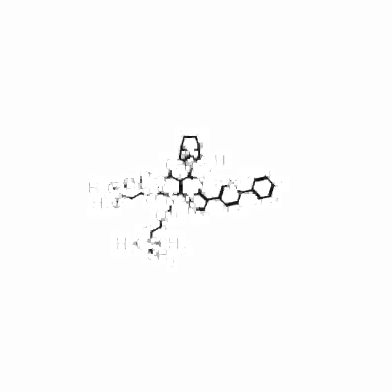 C=C(OCC)c1c(N2CC3CCC(C2)N3C(=O)O)nc2c(-c3ccc(-c4ccccc4)nc3)cnn2c1N(COCC[Si](C)(C)C)COCC[Si](C)(C)C